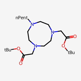 CCCCCN1CCN(CC(=O)OC(C)(C)C)CCN(CC(=O)OC(C)(C)C)CC1